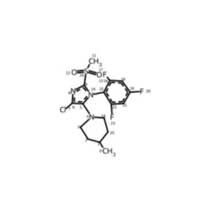 CC1CCN(c2c(Cl)nc(S(C)(=O)=O)n2-c2c(F)cc(F)cc2F)CC1